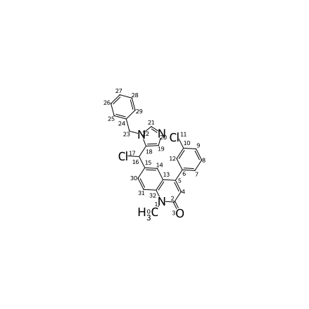 Cn1c(=O)cc(-c2cccc(Cl)c2)c2cc(C(Cl)c3cncn3Cc3ccccc3)ccc21